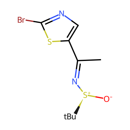 C/C(=N\[S@@+]([O-])C(C)(C)C)c1cnc(Br)s1